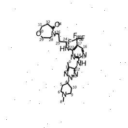 Cc1nn(C2CCN(C)CC2)nc1Nc1ncc(C(F)(F)F)c(NCCCN2CCOCCC2=O)n1